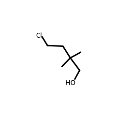 CC(C)(CO)CCCl